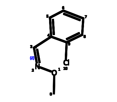 CO/N=[C]\c1ccccc1Cl